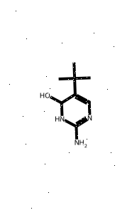 CC(C)(C)C1=CN=C(N)NC1O